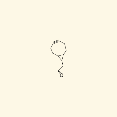 O=CCC1C2CCC#CCCC12